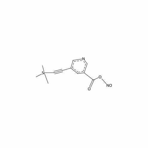 C[Si](C)(C)C#Cc1cncc(C(=O)ON=O)c1